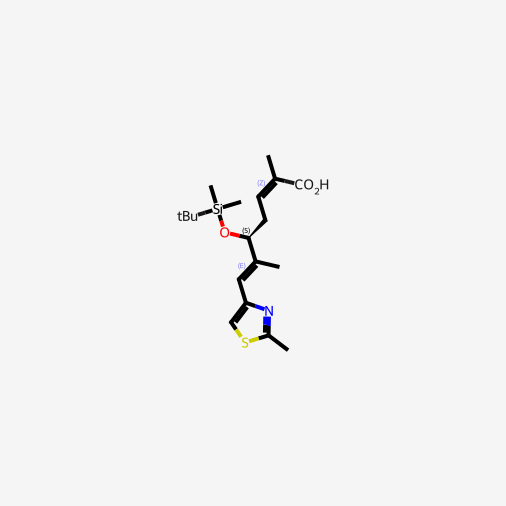 C/C(=C/C[C@H](O[Si](C)(C)C(C)(C)C)/C(C)=C/c1csc(C)n1)C(=O)O